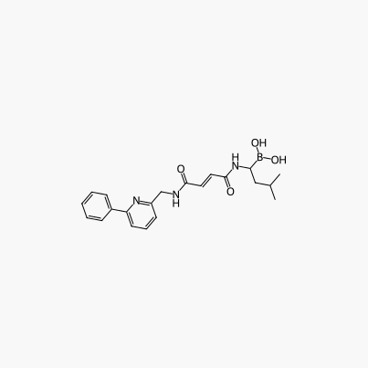 CC(C)CC(NC(=O)C=CC(=O)NCc1cccc(-c2ccccc2)n1)B(O)O